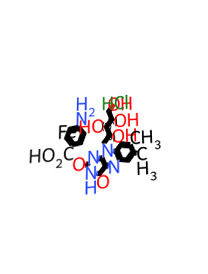 Cc1cc2nc3c(=O)[nH]c(=O)nc-3n(C[C@H](O)[C@H](O)[C@H](O)CO)c2cc1C.Cl.Nc1ccc(C(=O)O)cc1.[Fe]